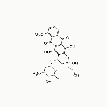 COc1cccc2c1C(=O)c1c(O)c3c(c(O)c1C2=O)C[C@@](O)(CCO)C[C@@H]3O[C@@H]1C[C@H](N)[C@@H](O)[C@H](C)O1